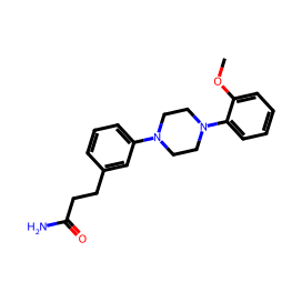 COc1ccccc1N1CCN(c2cccc(CCC(N)=O)c2)CC1